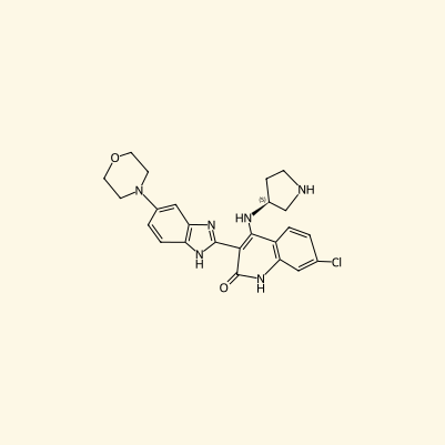 O=c1[nH]c2cc(Cl)ccc2c(N[C@H]2CCNC2)c1-c1nc2cc(N3CCOCC3)ccc2[nH]1